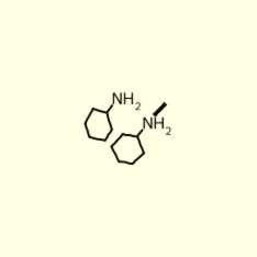 C=C.NC1CCCCC1.NC1CCCCC1